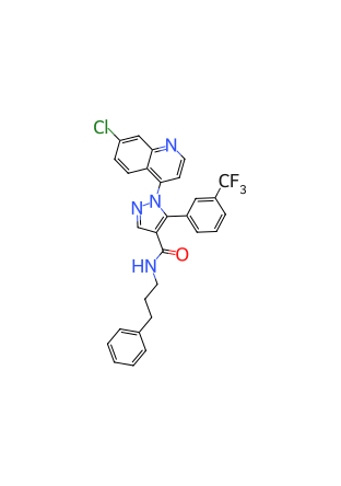 O=C(NCCCc1ccccc1)c1cnn(-c2ccnc3cc(Cl)ccc23)c1-c1cccc(C(F)(F)F)c1